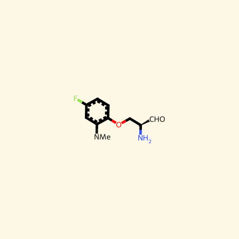 CNc1cc(F)ccc1OC[C@H](N)C=O